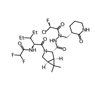 CCC(CC)[C@H](NC(=O)C(F)F)C(=O)N1C[C@H]2[C@@H]([C@H]1C(=O)NN(C[C@@H]1CCCNC1=O)C(=O)[C@H](F)Cl)C2(C)C